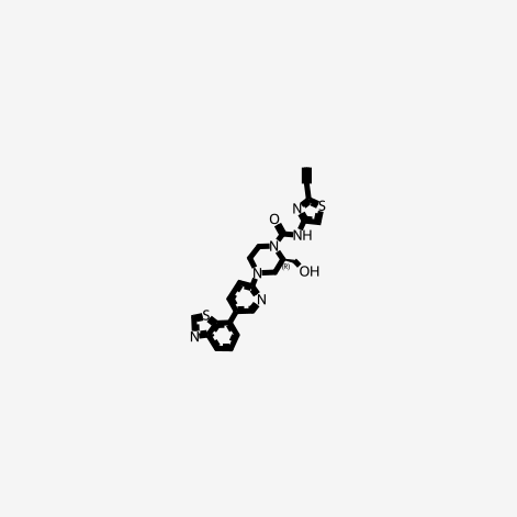 C#Cc1nc(NC(=O)N2CCN(c3ccc(-c4cccc5ncsc45)cn3)C[C@@H]2CO)cs1